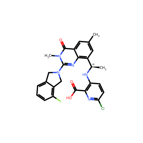 Cc1cc([C@@H](C)Nc2ccc(Cl)nc2C(=O)O)c2nc(N3Cc4cccc(F)c4C3)n(C)c(=O)c2c1